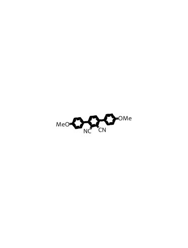 COc1ccc(-c2ccc(-c3ccc(OC)cc3)c(C#N)c2C#N)cc1